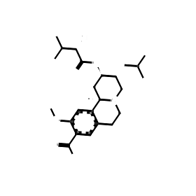 COc1cc2c(cc1C(=O)S)CCN1C[C@@H](CC(C)C)[C@H](OC(=O)[C@@H](N)C(C)C)C[C@H]21